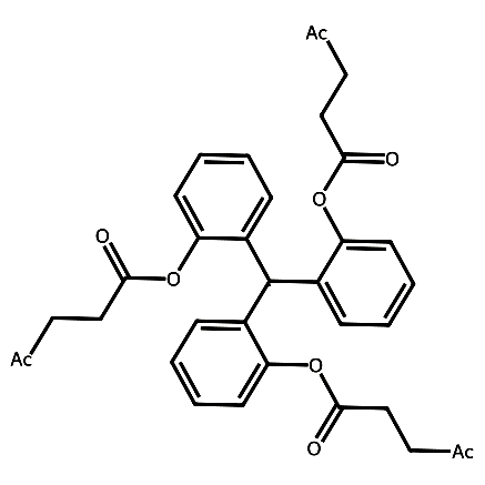 CC(=O)CCC(=O)Oc1ccccc1[C](c1ccccc1OC(=O)CCC(C)=O)c1ccccc1OC(=O)CCC(C)=O